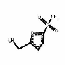 NCc1ccc(S(N)(=O)=O)o1